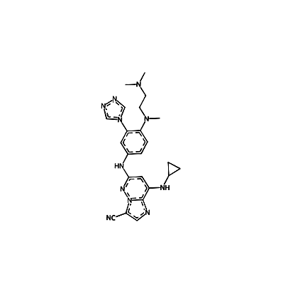 CN(C)CCN(C)c1ccc(Nc2cc(NC3CC3)c3ncc(C#N)n3n2)cc1-n1cnnc1